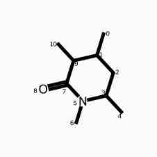 CC1CC(C)N(C)C(=O)C1C